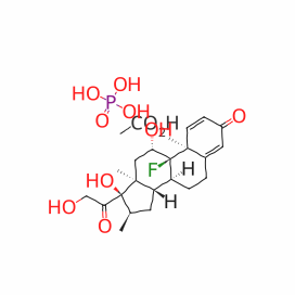 CC(=O)O.C[C@@H]1C[C@H]2[C@@H]3CCC4=CC(=O)C=C[C@]4(C)[C@@]3(F)[C@@H](O)C[C@]2(C)[C@@]1(O)C(=O)CO.O=P(O)(O)O